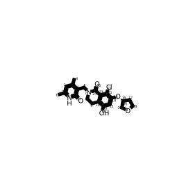 Cc1cc(C)c(CN2CCc3c(O)cc(O[C@@H]4CCOC4)c(Cl)c3C2=O)c(=O)[nH]1